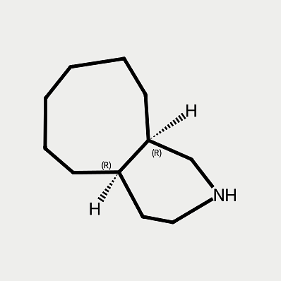 C1CCC[C@H]2CNCC[C@H]2CC1